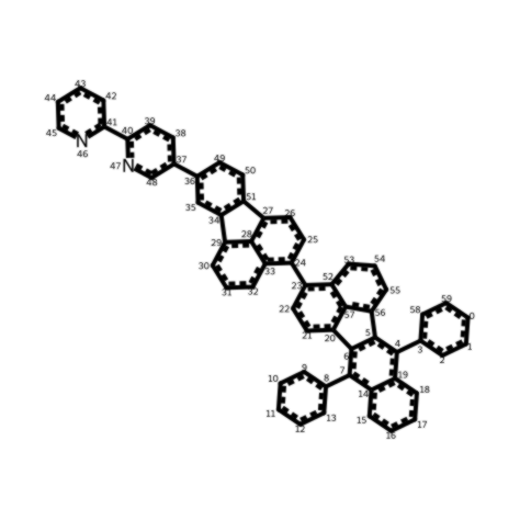 c1ccc(-c2c3c(c(-c4ccccc4)c4ccccc24)-c2ccc(-c4ccc5c6c(cccc46)-c4cc(-c6ccc(-c7ccccn7)nc6)ccc4-5)c4cccc-3c24)cc1